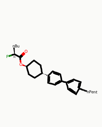 CCCCCc1ccc(-c2ccc([C@H]3CC[C@H](OC(=O)[C@@H](F)CCCC)CC3)cc2)cc1